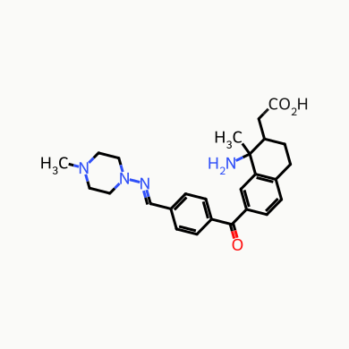 CN1CCN(N=Cc2ccc(C(=O)c3ccc4c(c3)C(C)(N)C(CC(=O)O)CC4)cc2)CC1